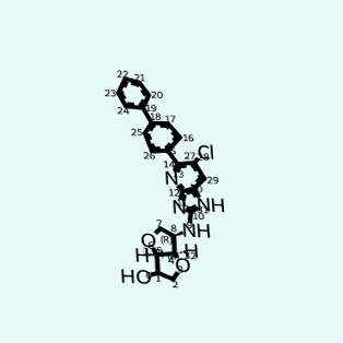 OC1CO[C@H]2[C@@H]1OC[C@H]2Nc1nc2nc(-c3ccc(-c4ccccc4)cc3)c(Cl)cc2[nH]1